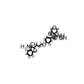 CC(N)(C(=O)CCCOc1ccc(S(=O)(=O)C2(C(=O)NO)CCOCC2)cc1)c1ccccc1